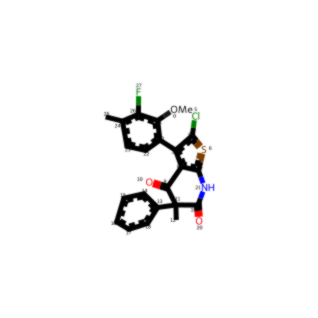 COc1c(-c2c(Cl)sc3c2C(=O)C(C)(c2ccccc2)C(=O)N3)ccc(C)c1F